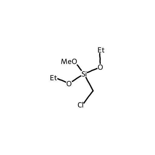 CCO[Si](CCl)(OC)OCC